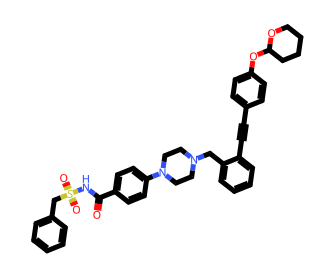 O=C(NS(=O)(=O)Cc1ccccc1)c1ccc(N2CCN(Cc3ccccc3C#Cc3ccc(OC4CCCCO4)cc3)CC2)cc1